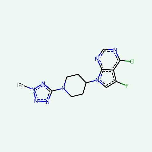 CC(C)n1nnc(N2CCC(n3cc(F)c4c(Cl)ncnc43)CC2)n1